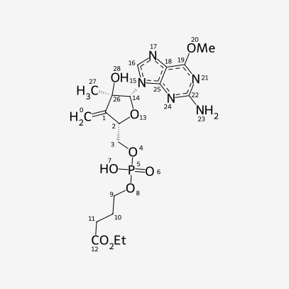 C=C1[C@@H](COP(=O)(O)OCCCC(=O)OCC)O[C@@H](n2cnc3c(OC)nc(N)nc32)[C@]1(C)O